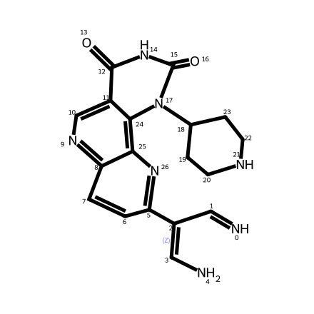 N=C/C(=C\N)c1ccc2ncc3c(=O)[nH]c(=O)n(C4CCNCC4)c3c2n1